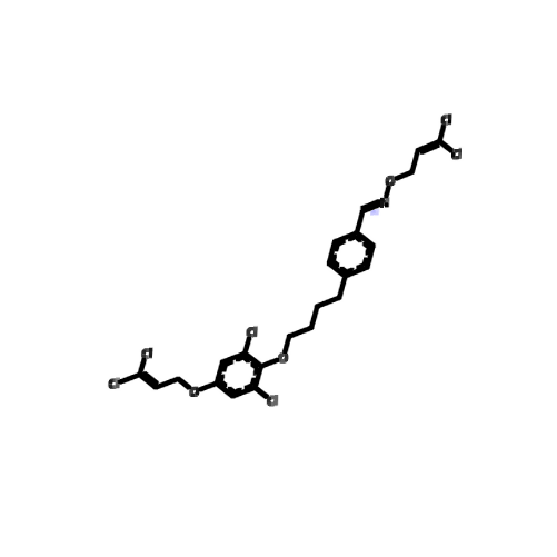 ClC(Cl)=CCO/N=C/c1ccc(CCCCOc2c(Cl)cc(OCC=C(Cl)Cl)cc2Cl)cc1